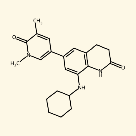 Cc1cc(-c2cc3c(c(NC4CCCCC4)c2)NC(=O)CC3)cn(C)c1=O